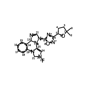 CC1(C)CCC(c2noc(N3C=NC4c5ccccc5N5CN(F)C=C5N43)n2)O1